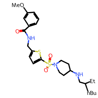 CCCCC(CC)CNC1CCN(S(=O)(=O)c2ccc(CNC(=O)c3cccc(OC)c3)s2)CC1